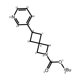 CC(C)(C)OC(=O)N1CC2(CC(c3cccnc3)C2)C1